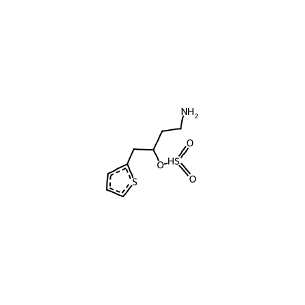 NCCC(Cc1cccs1)O[SH](=O)=O